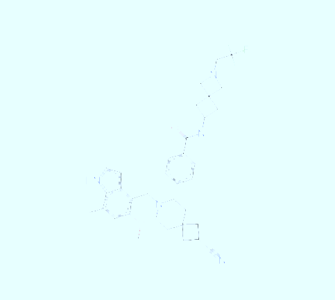 COc1cc(C)c2[nH]ccc2c1CN1CCC2(CC(C#N)C2)C[C@H]1c1ccc(C(=O)NC2CC3(C2)CN(CC(F)(F)F)C3)cc1